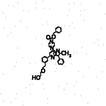 Cc1nn2c(N3CCN(C(=O)OCc4ccccc4)CC3)cc(-c3cccc(CCOCCO)c3)nc2c1-c1ccccc1